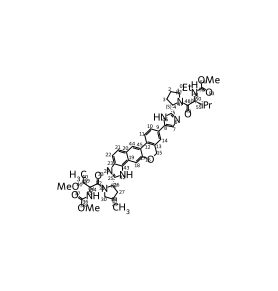 CC[C@H]1CC[C@@H](c2ncc(-c3ccc4c(c3)COc3cc5c(ccc6nc([C@@H]7C[C@H](C)CN7C(=O)[C@@H](NC(=O)OC)[C@@H](C)OC)[nH]c65)cc3-4)[nH]2)N1C(=O)[C@@H](NC(=O)OC)C(C)C